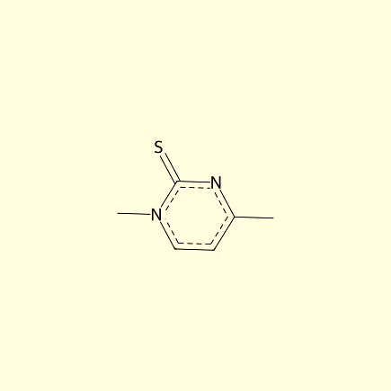 Cc1ccn(C)c(=S)n1